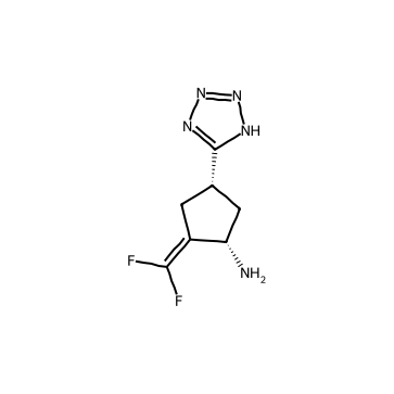 N[C@H]1C[C@@H](c2nnn[nH]2)CC1=C(F)F